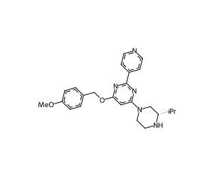 COc1ccc(COc2cc(N3CCN[C@@H](C(C)C)C3)nc(-c3ccncc3)n2)cc1